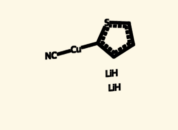 N#[C][Cu][c]1cccs1.[LiH].[LiH]